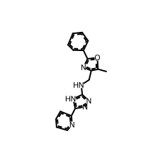 Cc1oc(-c2ccccc2)nc1CNc1nnc(-c2ccccn2)[nH]1